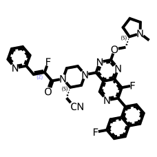 CN1CCC[C@H]1COc1nc(N2CCN(C(=O)/C(F)=C/c3ccccn3)[C@@H](CC#N)C2)c2cnc(-c3cccc4ccc(F)cc34)c(F)c2n1